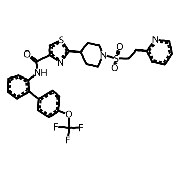 O=C(Nc1ccccc1-c1ccc(OC(F)(F)F)cc1)c1csc(C2CCN(S(=O)(=O)CCc3ccccn3)CC2)n1